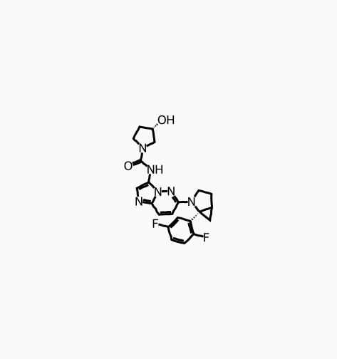 O=C(Nc1cnc2ccc(N3CCC4C[C@]43c3cc(F)ccc3F)nn12)N1CC[C@H](O)C1